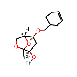 CCCC12OC[C@@H](O1)[C@@H](OCC1CC=CCC1)C[C@H]2OCC